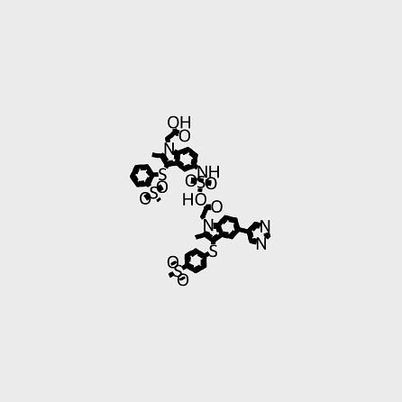 Cc1c(Sc2ccc(S(C)(=O)=O)cc2)c2cc(-c3cncnc3)ccc2n1CC(=O)O.Cc1c(Sc2ccccc2S(C)(=O)=O)c2cc(NS(C)(=O)=O)ccc2n1CC(=O)O